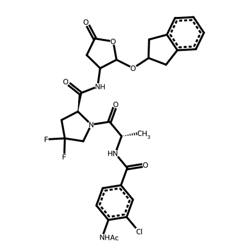 CC(=O)Nc1ccc(C(=O)N[C@@H](C)C(=O)N2CC(F)(F)C[C@H]2C(=O)NC2CC(=O)OC2OC2Cc3ccccc3C2)cc1Cl